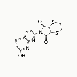 O=C1C2SCCSC2C(=O)N1c1ccc2ccc(O)nc2n1